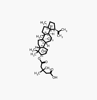 [CH2][C@]12CC[C@@H](C(=C)C)[C@@H]1[C@H]1CC[C@@H]3[C@@]4(C)CC[C@H](OC(=O)CC(C)(C)CC(=O)O)C(C)(C)[C@@H]4CC[C@@]3(C)[C@]1(C)CC2